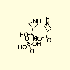 O=C(O)C1CNC1.O=C(O)C1CNC1.O=S(=O)(O)O